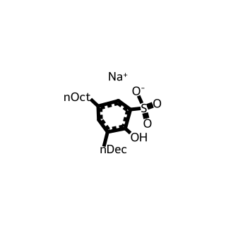 CCCCCCCCCCc1cc(CCCCCCCC)cc(S(=O)(=O)[O-])c1O.[Na+]